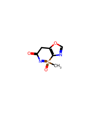 CS1(=O)=NC(=O)Cc2ocnc21